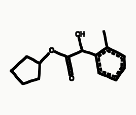 Cc1ccccc1C(O)C(=O)OC1CCCC1